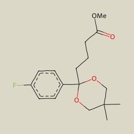 COC(=O)CCCC1(c2ccc(F)cc2)OCC(C)(C)CO1